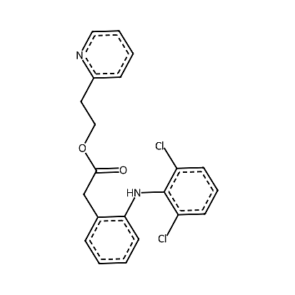 O=C(Cc1ccccc1Nc1c(Cl)cccc1Cl)OCCc1ccccn1